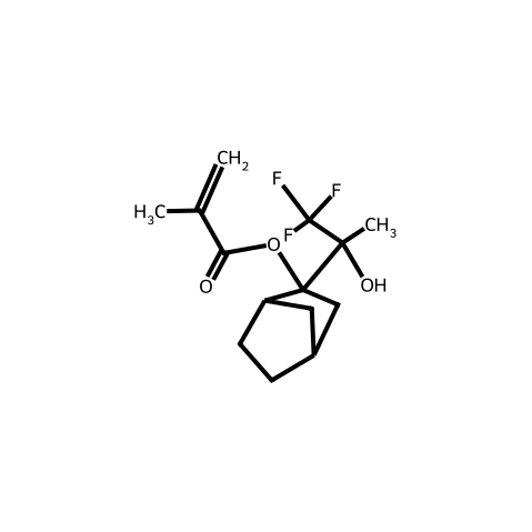 C=C(C)C(=O)OC1(C(C)(O)C(F)(F)F)CC2CCC1C2